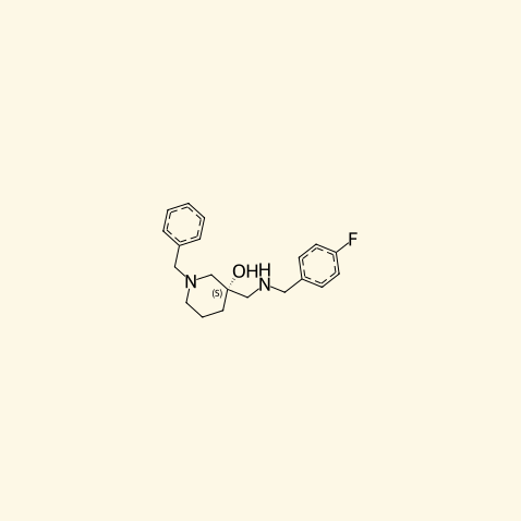 O[C@]1(CNCc2ccc(F)cc2)CCCN(Cc2ccccc2)C1